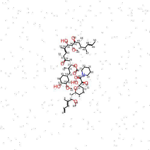 C=C/C=C(\C)[C@H](C[C@@H]1CC[C@@H](C)[C@](O)(C(=O)C(=O)N2CCCC[C@H]2C(=O)O[C@@H](CC(=O)[C@H](C)/C=C(\C)[C@@H](O)[C@@H](OC)C(=O)[C@H](C)C[C@H](C)/C=C/C)[C@H](C)C[C@@H]2CC[C@@H](O)[C@H](OC)C2)O1)OC